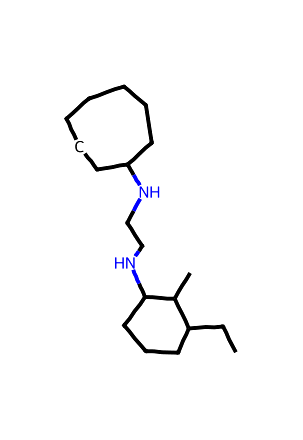 CCC1CCCC(NCCNC2CCCCCCC2)C1C